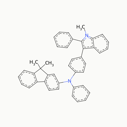 Cn1c(-c2ccccc2)c(-c2ccc(N(c3ccccc3)c3ccc4c(c3)C(C)(C)c3ccccc3-4)cc2)c2ccccc21